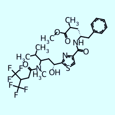 COC(=O)[C@@H](C)C[C@H](Cc1ccccc1)NC(=O)c1csc([C@H](O)CC(C(C)C)N(C)C(=O)CC(C(F)(F)F)C(F)(F)F)n1